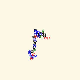 C#Cc1c(F)ccc2cc(O)cc(-c3ncc4c(N5CC6CCC(C5)N6)nc(OCC5(CN6CCC7(CC6)CC(N6CCC(c8cc9c(cc8F)c(N8CCC(=O)NC8=O)nn9C)CC6)C7)CC5)nc4c3F)c12